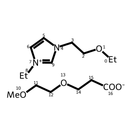 CCOCCn1cc[n+](CC)c1.COCCOCCC(=O)[O-]